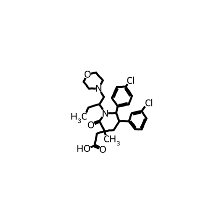 CCC(CN1CCOCC1)N1C(=O)C(C)(CC(=O)O)CC(c2cccc(Cl)c2)C1c1ccc(Cl)cc1